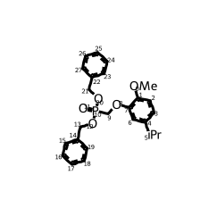 COc1ccc(C(C)C)cc1OCP(=O)(OCc1ccccc1)OCc1ccccc1